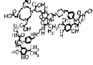 CCNC(=O)c1nnc(-c2cc(C(C)C)c(O)cc2O)n1-c1ccc(CNCCNC(=O)[C@H](C)NC(=O)[C@H](CC(=O)N2CCN(Cc3ccc(-n4c(C(=O)NCC)nnc4-c4cc(C(C)C)c(O)cc4O)cc3)CC2)NC(=O)CC[C@H](C(=O)O)N2CCN(CC(=O)O)CCN(CC(=O)O)CCN(CC(=O)O)CC2)cc1